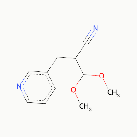 COC(OC)C(C#N)Cc1cccnc1